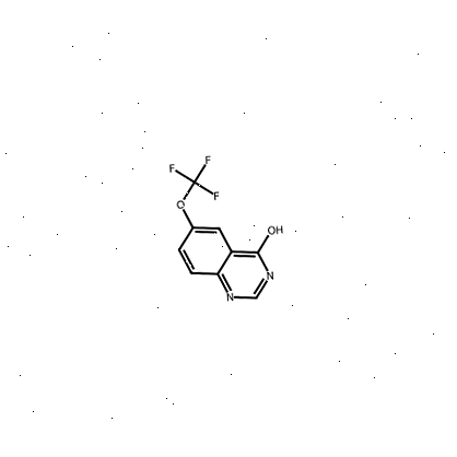 Oc1ncnc2ccc(OC(F)(F)F)cc12